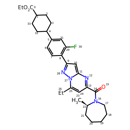 CCOC(=O)C1CCC(c2ccc(-c3cc4nc(C(=O)N5CCCCC[C@H]5C)cc(CC)n4n3)c(F)c2)CC1